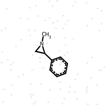 CN1CC1c1ccccc1